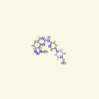 CC(C)CN1CCN(c2ccc(Nc3ncc4ccc5nnn(C(C)C)c5c4n3)nc2)CC1